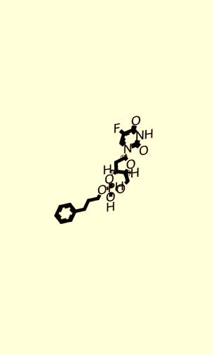 O=c1[nH]c(=O)n([C@H]2C[C@@H]3O[PH](O)(OCCCc4ccccc4)OC[C@H]3O2)cc1F